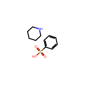 C1CCNCC1.O=S(=O)(O)c1ccccc1